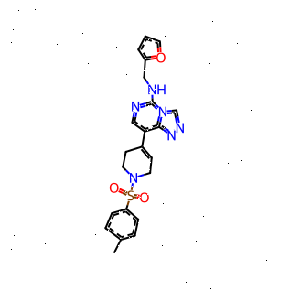 Cc1ccc(S(=O)(=O)N2CC=C(c3cnc(NCc4ccco4)n4cnnc34)CC2)cc1